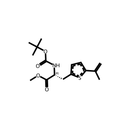 C=C(C)c1ccc(C[C@@H](NC(=O)OC(C)(C)C)C(=O)OC)s1